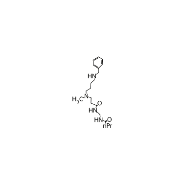 CCCC(=O)NCNC(=O)CCN(C)CCCCNCc1ccccc1